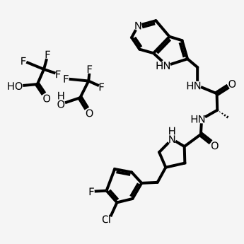 C[C@H](NC(=O)C1CC(Cc2ccc(F)c(Cl)c2)CN1)C(=O)NCc1cc2cnccc2[nH]1.O=C(O)C(F)(F)F.O=C(O)C(F)(F)F